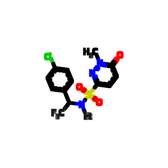 CCN(C(c1ccc(Cl)cc1)C(F)(F)F)S(=O)(=O)c1ccc(=O)n(C)n1